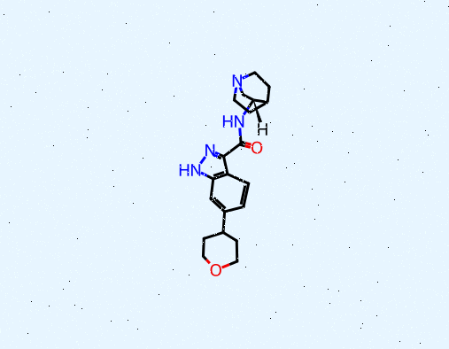 O=C(N[C@@H]1CN2CCC1CC2)c1n[nH]c2cc(C3CCOCC3)ccc12